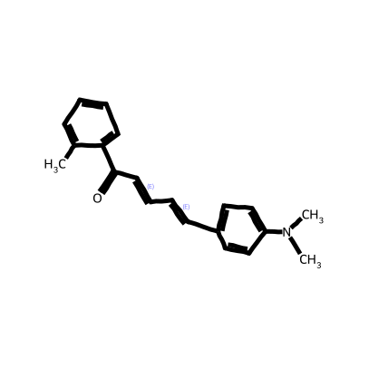 Cc1ccccc1C(=O)/C=C/C=C/c1ccc(N(C)C)cc1